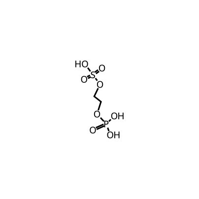 O=P(O)(O)OCCOS(=O)(=O)O